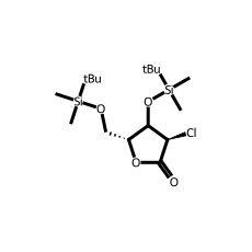 CC(C)(C)[Si](C)(C)OC[C@H]1OC(=O)[C@H](Cl)C1O[Si](C)(C)C(C)(C)C